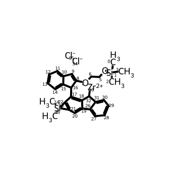 C[Si](C)(C)OCCOC1=Cc2ccccc2C1c1c2c(cc3c1[Si]3(C)C)-c1ccccc1[CH]2[Zr+2].[Cl-].[Cl-]